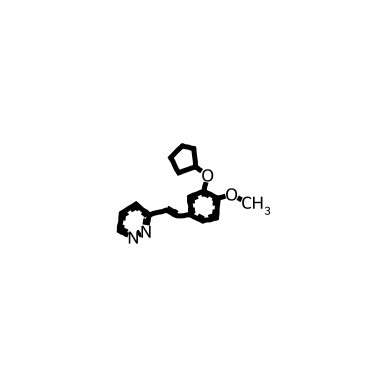 COc1ccc(C=Cc2cccnn2)cc1OC1CCCC1